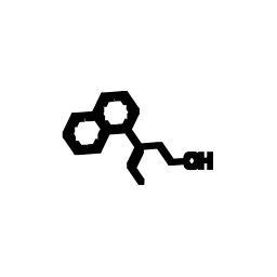 CC=C(CCO)c1cccc2ccccc12